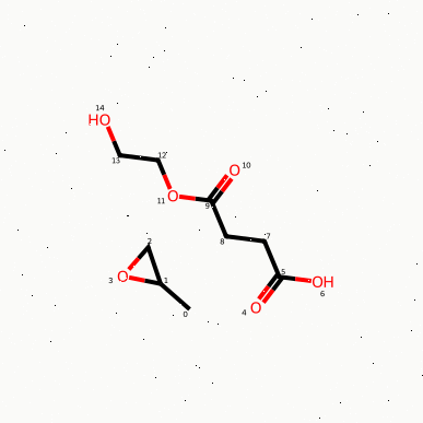 CC1CO1.O=C(O)CCC(=O)OCCO